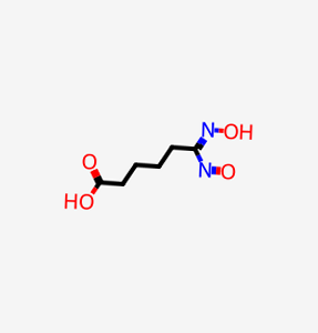 O=NC(CCCCC(=O)O)=NO